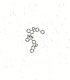 c1ccc(-c2ccc3oc4c5ccccc5c(-c5nc(-c6ccc7oc8cc9ccccc9cc8c7c6)c6ccccc6n5)cc4c3c2)cc1